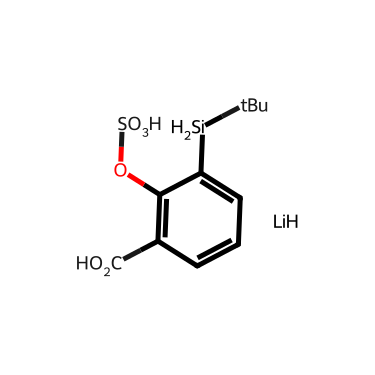 CC(C)(C)[SiH2]c1cccc(C(=O)O)c1OS(=O)(=O)O.[LiH]